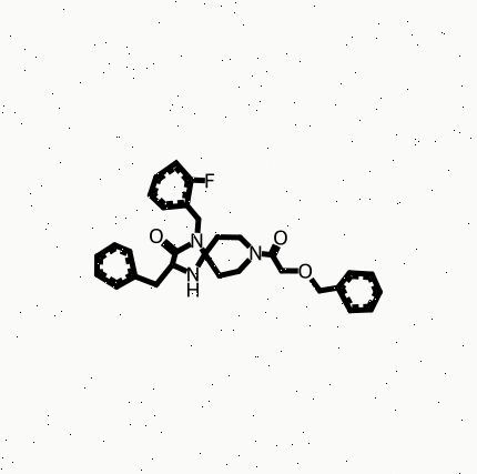 O=C(COCc1ccccc1)N1CCC2(CC1)NC(Cc1ccccc1)C(=O)N2Cc1ccccc1F